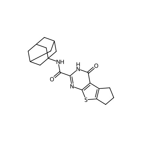 O=C(NC12CC3CC(CC(C3)C1)C2)c1nc2sc3c(c2c(=O)[nH]1)CCC3